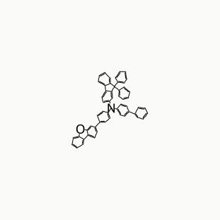 c1ccc(-c2ccc(N(c3ccc(-c4ccc5c(c4)oc4ccccc45)cc3)c3ccc4c(c3)C(c3ccccc3)(c3ccccc3)c3ccccc3-4)cc2)cc1